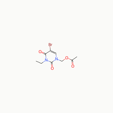 CCn1c(=O)c(Br)cn(COC(C)=O)c1=O